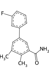 Cc1cc(-c2cccc(F)c2)cc(C(N)=O)c1C